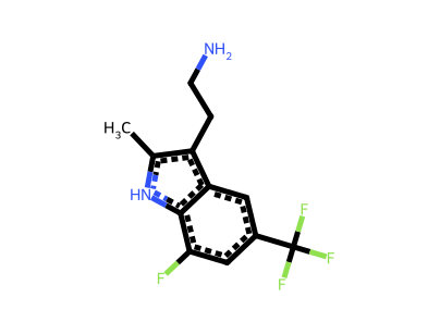 Cc1[nH]c2c(F)cc(C(F)(F)F)cc2c1CCN